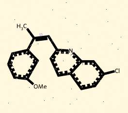 COc1cccc(/C(C)=C\c2ccc3ccc(Cl)cc3n2)c1